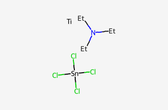 CCN(CC)CC.[Cl][Sn]([Cl])([Cl])[Cl].[Ti]